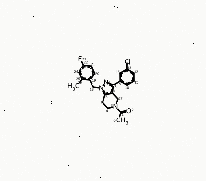 CC(=O)N1CCc2c(c(-c3cccc(Cl)c3)nn2Cc2ccc(F)cc2C)C1